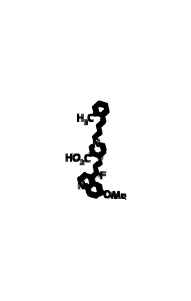 COc1ccc2nccc([C@H](F)CC[C@@H]3CCN(CCCCc4ccccc4C)C[C@@H]3C(=O)O)c2c1